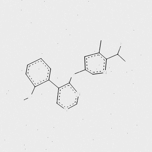 COc1ccccc1-c1cncnc1Oc1cnc(C(F)F)c(C)c1